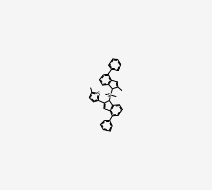 CC1=Cc2c(-c3ccccc3)cccc2C1[Si](C)(C)C1C(c2ccc(C)s2)=Cc2c(-c3ccccc3)cccc21